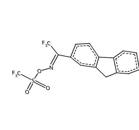 O=S(=O)(ON=C(c1ccc2c(c1)Cc1ccccc1-2)C(F)(F)F)C(F)(F)F